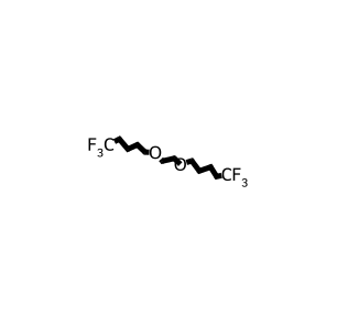 FC(F)(F)CCCCOCCOCCCCC(F)(F)F